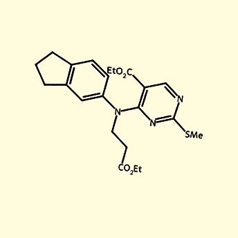 CCOC(=O)CCN(c1ccc2c(c1)CCC2)c1nc(SC)ncc1C(=O)OCC